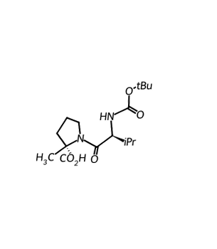 CC(C)[C@H](NC(=O)OC(C)(C)C)C(=O)N1CCC[C@@]1(C)C(=O)O